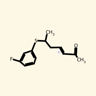 CC(=O)/C=C/CC(C)Sc1cccc(F)c1